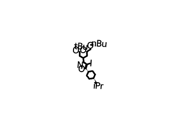 CCCCOCCCC(CC(=O)OC(C)(C)C)c1noc([C@H]2CC[C@@H](CC(C)C)CC2)c1I